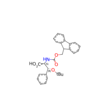 CC(C)(C)O[C@H](c1ccccc1)[C@H](NC(=O)OCC1c2ccccc2-c2ccccc21)C(=O)O